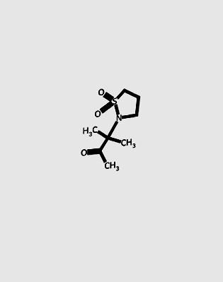 CC(=O)C(C)(C)N1CCCS1(=O)=O